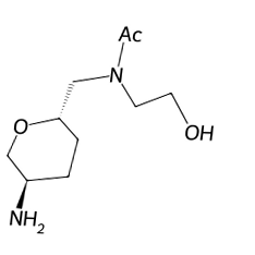 CC(=O)N(CCO)C[C@@H]1CC[C@@H](N)CO1